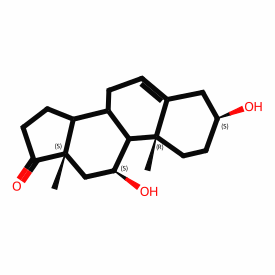 C[C@]12CC[C@H](O)CC1=CCC1C2[C@@H](O)C[C@]2(C)C(=O)CCC12